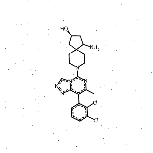 Cc1nc(N2CCC3(CC2)C[C@@H](O)CC3N)n2cnnc2c1-c1cccc(Cl)c1Cl